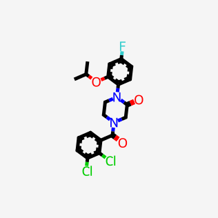 CC(C)Oc1cc(F)ccc1N1CCN(C(=O)c2cccc(Cl)c2Cl)CC1=O